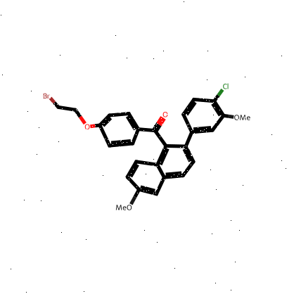 COc1ccc2c(C(=O)c3ccc(OCCBr)cc3)c(-c3ccc(Cl)c(OC)c3)ccc2c1